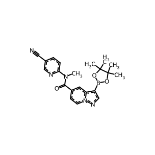 CN(C(=O)c1ccn2ncc(B3OC(C)(C)C(C)(C)O3)c2c1)c1ccc(C#N)cn1